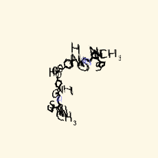 Cn1ncc(/C=C/C(=O)Nc2ccc(CO[PH](=O)OCc3ccc(NC(=O)/C=C/c4cnn(C)c4-c4cccs4)cc3)cc2)c1-c1cccs1